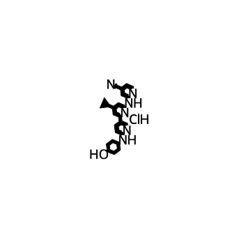 Cl.N#Cc1ccnc(Nc2cc(C3CC3)cc(-c3ccc(N[C@H]4CC[C@H](O)CC4)nc3)n2)c1